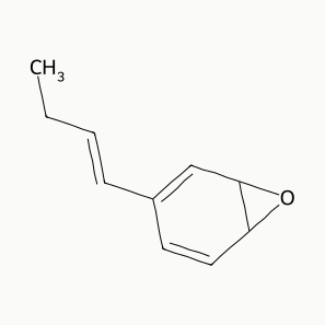 CCC=CC1=CC2OC2C=C1